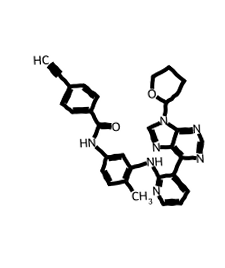 C#Cc1ccc(C(=O)Nc2ccc(C)c(Nc3ncccc3-c3ncnc4c3ncn4C3CCCCO3)c2)cc1